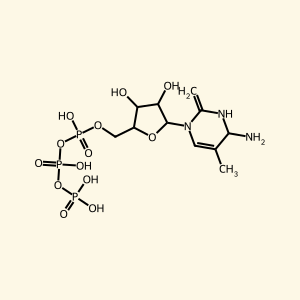 C=C1NC(N)C(C)=CN1C1OC(COP(=O)(O)OP(=O)(O)OP(=O)(O)O)C(O)C1O